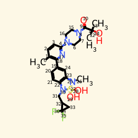 Cc1ccc(N2CCN(C(=O)C(C)(C)O)CC2)nc1-c1ccc2c(c1)N(C)S(O)(O)N2CC1CC1(F)F